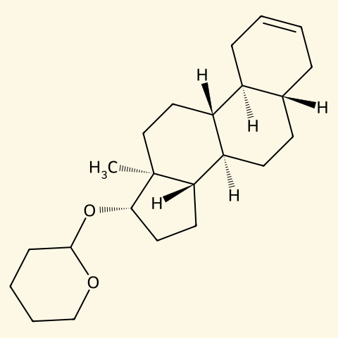 C[C@]12CC[C@H]3[C@@H](CC[C@H]4CC=CC[C@@H]43)[C@@H]1CC[C@@H]2OC1CCCCO1